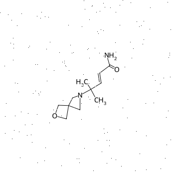 CC(C)(C=CC(N)=O)N1CC2(COC2)C1